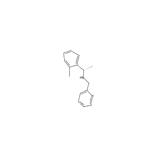 Cc1ccccc1[C@H](C)NCc1ccccn1